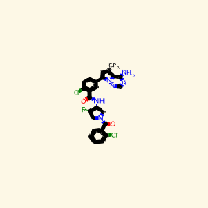 Nc1ncnn2c(-c3ccc(Cl)c(C(=O)N[C@@H]4CN(C(=O)c5ccccc5Cl)C[C@@H]4F)c3)cc(C(F)(F)F)c12